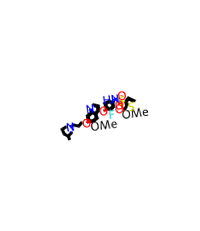 COC(=O)c1sccc1S(=O)(=O)Nc1ccc(Oc2ccnc3cc(OCCCN4CCCC(C)C4)c(OC)cc23)c(F)c1